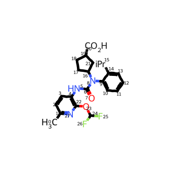 Cc1ccc(NC(=O)N(c2ccccc2C(C)C)C2CCC(C(=O)O)C2)c(OC(F)F)n1